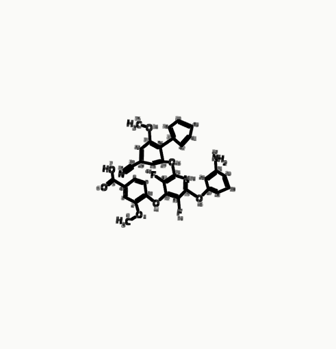 COc1cc(C(=O)O)ccc1Oc1c(F)c(Oc2cccc(N)c2)nc(Oc2cc(C#N)cc(OC)c2-c2ccccc2)c1F